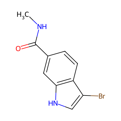 CNC(=O)c1ccc2c(Br)c[nH]c2c1